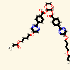 C=CC(=O)OCCCCOc1cnc(-c2ccc(C(=O)OC3OCCOC3OC(=O)c3ccc(-c4ncc(OCCCCOC(=O)C=C)cn4)cc3)cc2)nc1